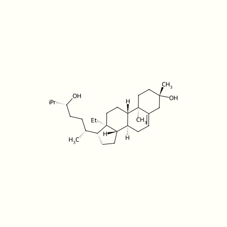 CC[C@]12CC[C@H]3[C@@H](CC=C4C[C@@](C)(O)CC[C@@]43C)[C@@H]1CC[C@@H]2[C@H](C)CC[C@@H](O)C(C)C